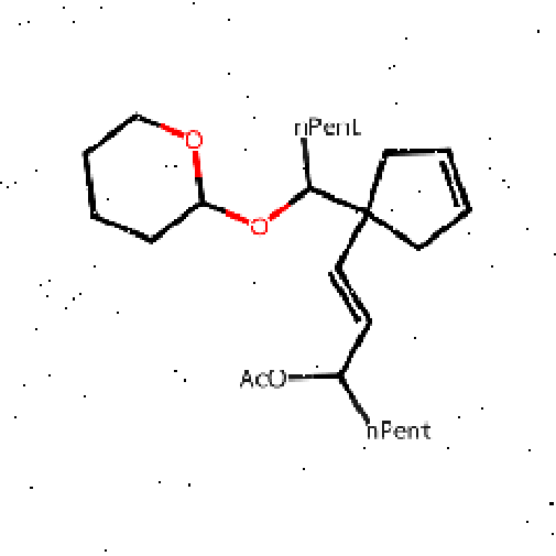 CCCCCC(C=CC1(C(CCCCC)OC2CCCCO2)CC=CC1)OC(C)=O